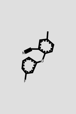 Cc1ccc(Oc2cccc(F)c2)c(C#N)c1